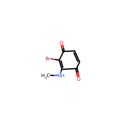 CNC1=C(Br)C(=O)C=CC1=O